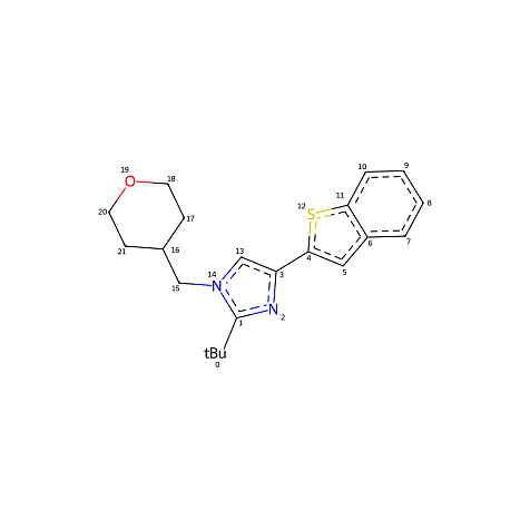 CC(C)(C)c1nc(-c2cc3ccccc3s2)cn1CC1CCOCC1